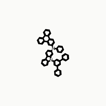 c1ccc(-c2cc(-c3ccccc3)cc(-n3c4ccccc4c4ccc(N(c5ccccc5)c5ccc6c7ccccc7c7ccccc7c6c5)cc43)c2)cc1